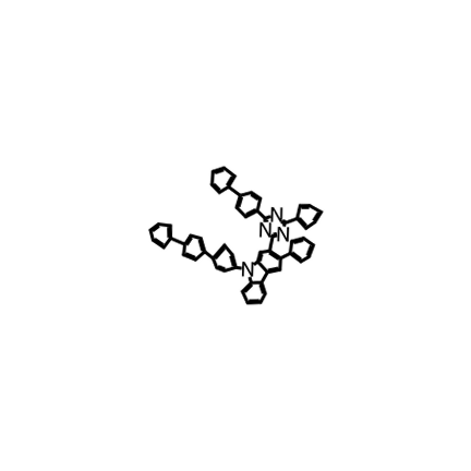 c1ccc(-c2ccc(-c3ccc(-n4c5ccccc5c5cc(-c6ccccc6)c(-c6nc(-c7ccccc7)nc(-c7ccc(-c8ccccc8)cc7)n6)cc54)cc3)cc2)cc1